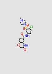 CN1CCN(S(=O)(=O)c2cc(NC(=O)c3ccc4c(c3)NC(=O)CO4)ccc2Cl)CC1